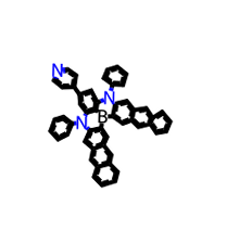 c1ccc(N2c3cc4cc5ccccc5cc4cc3B3c4cc5cc6ccccc6cc5cc4N(c4ccccc4)c4cc(-c5ccncc5)cc2c43)cc1